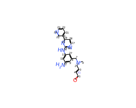 CN(C/C=C/C=O)Cc1cc(N)cc(Nc2nccc(-c3cccnc3)n2)c1